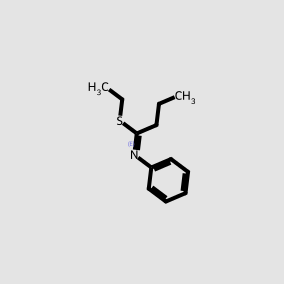 CCC/C(=N\c1ccccc1)SCC